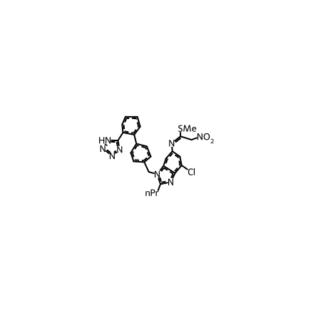 CCCc1nc2c(Cl)cc(N=C(C[N+](=O)[O-])SC)cc2n1Cc1ccc(-c2ccccc2-c2nnn[nH]2)cc1